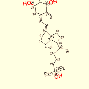 C=C1/C(=C\C=C2CCC[C@@]3(C)C2CC[C@@H]3[C@H](C)CCCC(O)(CC)CC)C[C@@H](O)CC1O